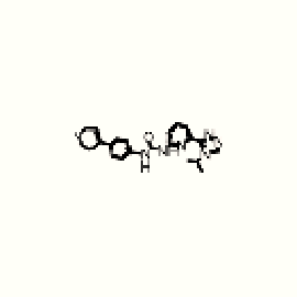 CC(C)n1cnnc1-c1cccc(NC(=O)Nc2ccc(C3=CCN=CC3)cc2)n1